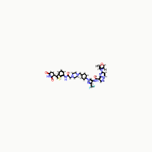 O=C1CCC(c2csc3c(NC(=O)CN4CCN(CC5CCC(n6cc(NC(=O)c7cnn8ccc(N9C[C@@H]%10C[C@H]9CO%10)nc78)c(C(F)F)n6)CC5)CC4)cccc23)C(=O)N1